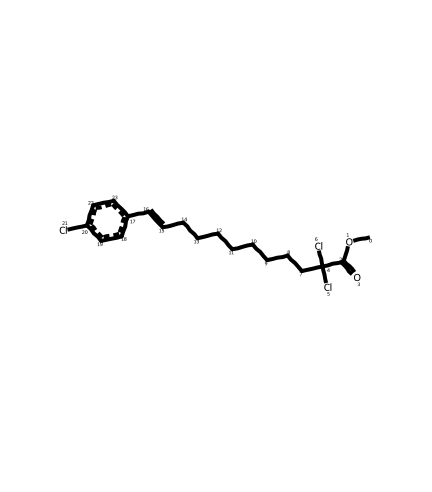 COC(=O)C(Cl)(Cl)CCCCCCCCC=Cc1ccc(Cl)cc1